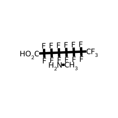 CN.O=C(O)C(F)(F)C(F)(F)C(F)(F)C(F)(F)C(F)(F)C(F)(F)C(F)(F)F